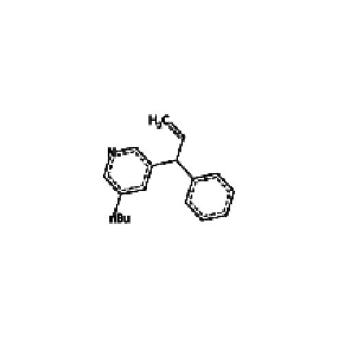 C=CC(c1ccccc1)c1cncc(CCCC)c1